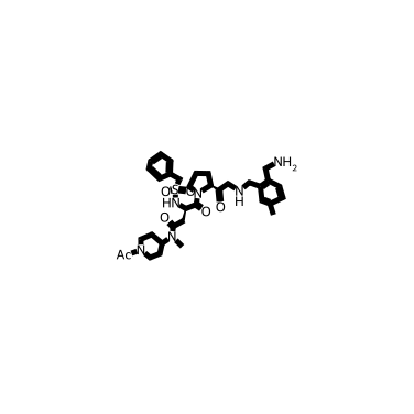 CC(=O)N1CCC(N(C)C(=O)C[C@@H](NS(=O)(=O)Cc2ccccc2)C(=O)N2CCC[C@H]2C(=O)CNCc2cc(C)ccc2CN)CC1